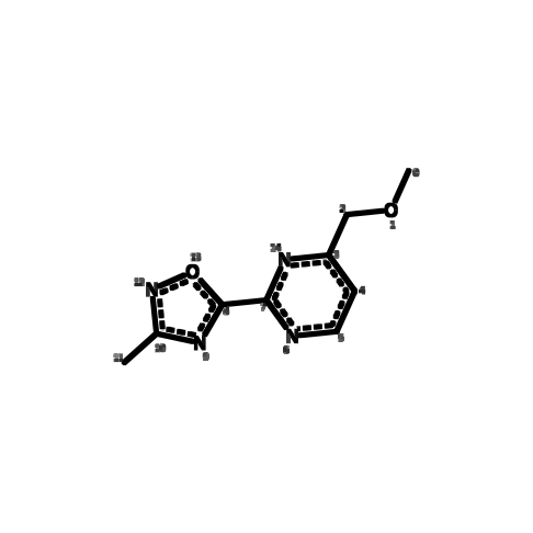 COCc1ccnc(-c2nc(C)no2)n1